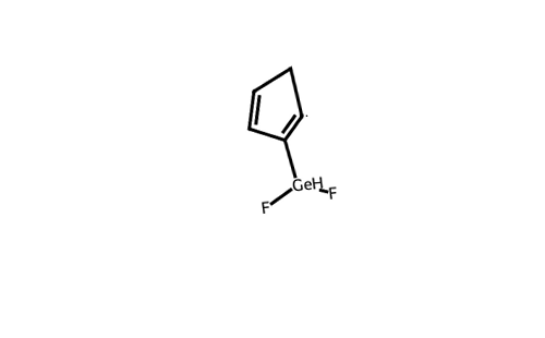 [F][GeH]([F])[C]1=[C]CC=C1